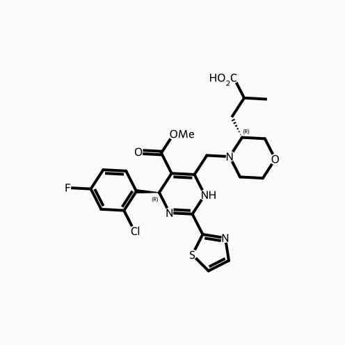 COC(=O)C1=C(CN2CCOC[C@H]2CC(C)C(=O)O)NC(c2nccs2)=N[C@H]1c1ccc(F)cc1Cl